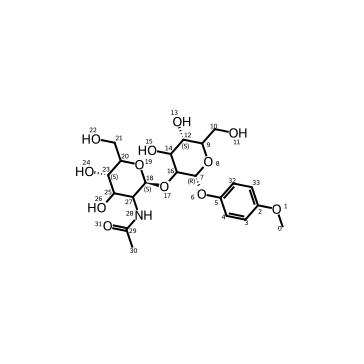 COc1ccc(O[C@H]2OC(CO)[C@@H](O)C(O)C2O[C@@H]2OC(CO)[C@@H](O)C(O)C2NC(C)=O)cc1